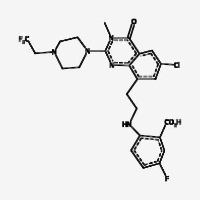 Cn1c(N2CCN(CC(F)(F)F)CC2)nc2c(CCNc3ccc(F)cc3C(=O)O)cc(Cl)cc2c1=O